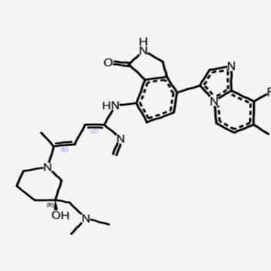 C=N/C(=C\C=C(/C)N1CCC[C@@](O)(CN(C)C)C1)Nc1ccc(-c2cnc3c(F)c(C)ccn23)c2c1C(=O)NC2